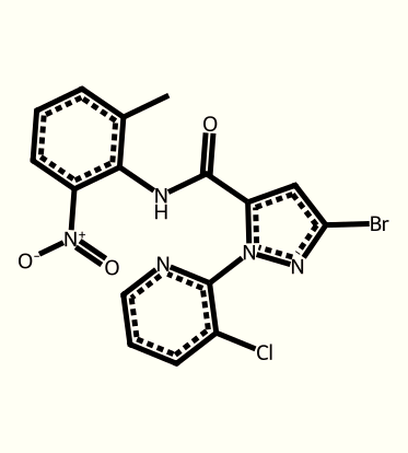 Cc1cccc([N+](=O)[O-])c1NC(=O)c1cc(Br)nn1-c1ncccc1Cl